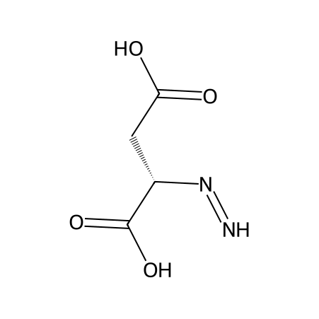 N=N[C@@H](CC(=O)O)C(=O)O